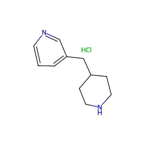 Cl.c1cncc(CC2CCNCC2)c1